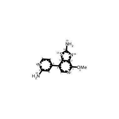 COc1ncc(-c2ccnc(N)c2)c2sc(N)nc12